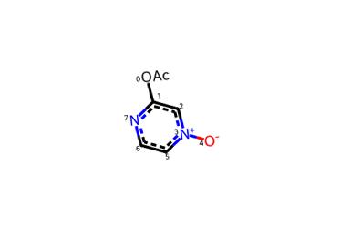 CC(=O)Oc1c[n+]([O-])ccn1